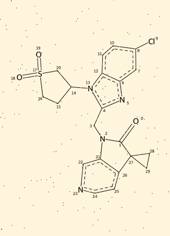 O=C1N(Cc2nc3cc(Cl)ccc3n2C2CCS(=O)(=O)C2)c2cnccc2C12CC2